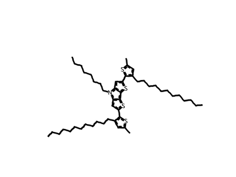 CCCCCCCCCCCCc1cc(C)sc1-c1cc2c(s1)c1sc(-c3sc(C)cc3CCCCCCCCCCCC)cc1n2CCCCCCCC